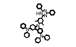 CC1=CC(C2=NC(c3ccccc3)=NC(c3ccccc3)N2)CC(C)C1n1c2c(c3cc(N(C4=CCCC=C4)C4C=CC=CC4)ccc31)C=C(N(C1=CCCC=C1)c1ccccc1)CC2